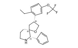 CCc1ccc(OC(F)(F)F)cc1[C@@H]1CO[C@]2(CCCN[C@H]2c2ccccc2)C1